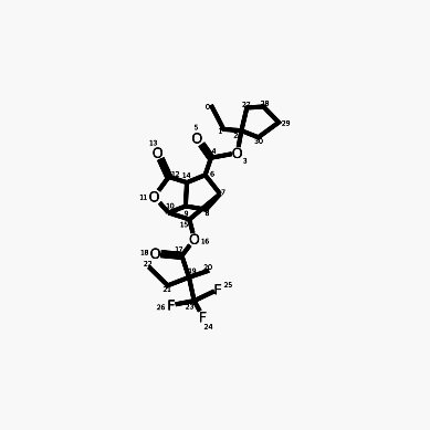 CCC1(OC(=O)C2C3CC4C(OC(=O)C42)C3OC(=O)C(C)(CC)C(F)(F)F)CCCC1